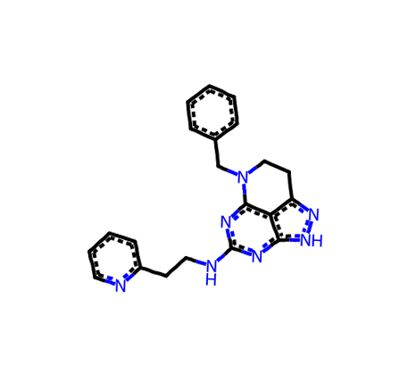 c1ccc(CN2CCc3n[nH]c4nc(NCCc5ccccn5)nc2c34)cc1